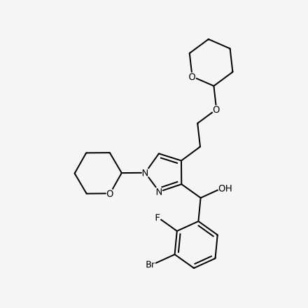 OC(c1cccc(Br)c1F)c1nn(C2CCCCO2)cc1CCOC1CCCCO1